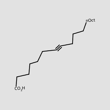 CCCCCCCCCCCC#CCCCCCC(=O)O